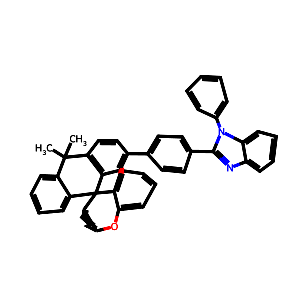 CC1(C)c2ccccc2C2(c3ccccc3Oc3ccccc32)c2cc(-c3ccc(-c4nc5ccccc5n4-c4ccccc4)cc3)ccc21